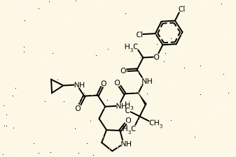 CC(Oc1ccc(Cl)cc1Cl)C(=O)N[C@@H](CC(C)(C)C)C(=O)NC(CC1CCNC1=O)C(=O)C(=O)NC1CC1